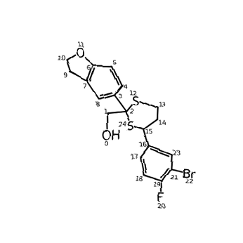 OCC1(c2ccc3c(c2)CCO3)SCCC(c2ccc(F)c(Br)c2)S1